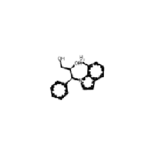 Cc1cccc2ccn([C@@H](c3ccccc3)[C@H](O)CO)c12